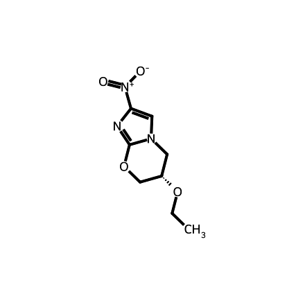 CCO[C@@H]1COc2nc([N+](=O)[O-])cn2C1